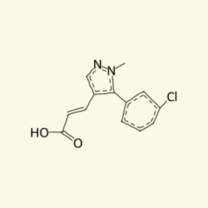 Cn1ncc(/C=C/C(=O)O)c1-c1cccc(Cl)c1